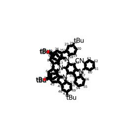 CC(C)(C)c1ccc2c(c1)c1cc(C(C)(C)C)ccc1n2-c1c(-n2c3ccc(C(C)(C)C)cc3c3cc(C(C)(C)C)ccc32)c(C#N)c2c(c1-n1c3ccc(C(C)(C)C)cc3c3cc(C(C)(C)C)ccc31)c1ccccc1n2-c1ccccc1